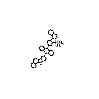 CC1(C)c2cc(-c3c4ccccc4c(-c4ccc5oc6c7ccccc7ccc6c5c4)c4ccccc34)ccc2-c2c1ccc1ccccc21